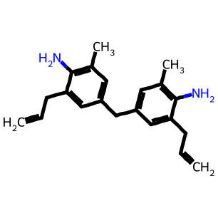 C=CCc1cc(Cc2cc(C)c(N)c(CC=C)c2)cc(C)c1N